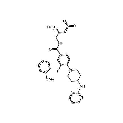 COc1ccccc1.O=C(NC[C@H](N=S(=O)=O)C(=O)O)c1ccc(N2CCC(Nc3ncccn3)CC2)c(F)c1